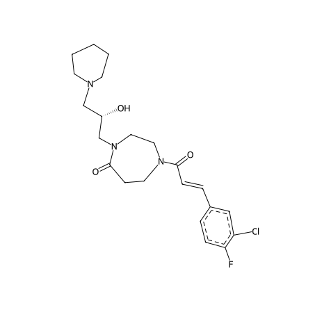 O=C(/C=C/c1ccc(F)c(Cl)c1)N1CCC(=O)N(C[C@@H](O)CN2CCCCC2)CC1